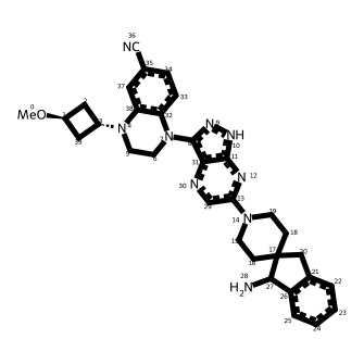 CO[C@H]1C[C@H](N2CCN(c3n[nH]c4nc(N5CCC6(CC5)Cc5ccccc5C6N)cnc34)c3ccc(C#N)cc32)C1